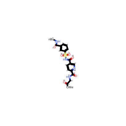 CCCCNC(=O)c1cccc(S(=O)(=O)NC(=O)c2ccc(C(=O)NCC(=O)OC)nc2)c1